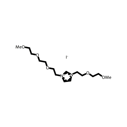 COCCOCCOCC[n+]1ccn(CCOCCOC)c1.[I-]